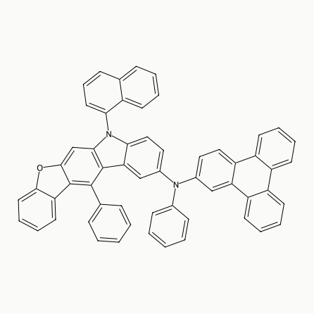 c1ccc(-c2c3c(cc4c2c2cc(N(c5ccccc5)c5ccc6c7ccccc7c7ccccc7c6c5)ccc2n4-c2cccc4ccccc24)oc2ccccc23)cc1